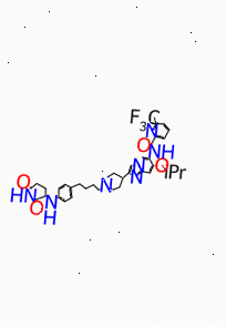 CC(C)Oc1cc2nc(C3CCN(CCCCc4ccc(NC5CCC(=O)NC5=O)cc4)CC3)cn2cc1NC(=O)c1cccc(C(F)(F)F)n1